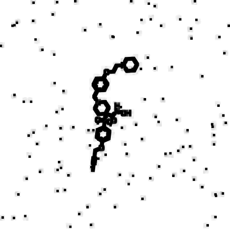 CC#CCOc1ccc(S(=O)(=O)C2(C(=O)NO)CCN(Cc3ccc(OCCN4CCCCC4)cc3)CC2)cc1